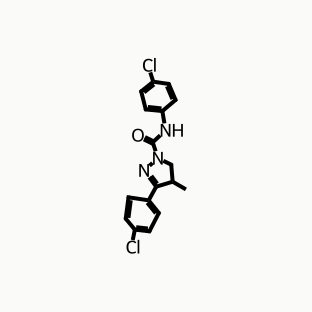 CC1CN(C(=O)Nc2ccc(Cl)cc2)N=C1c1ccc(Cl)cc1